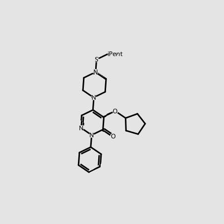 CCCC(C)SN1CCN(c2cnn(-c3ccccc3)c(=O)c2OC2CCCC2)CC1